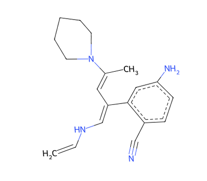 C=CN/C=C(\C=C(/C)N1CCCCC1)c1cc(N)ccc1C#N